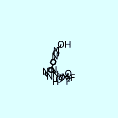 O=C(C(F)F)N1CCO[C@H](CNc2nc(-c3ccc(N4CCN(CCO)CC4)cc3)cc3nccnc23)C1